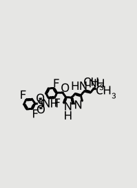 CN/C(=C\C(C)=N)c1cnc2[nH]cc(C(=O)c3c(F)ccc(NS(=O)(=O)c4cc(F)ccc4F)c3F)c2c1